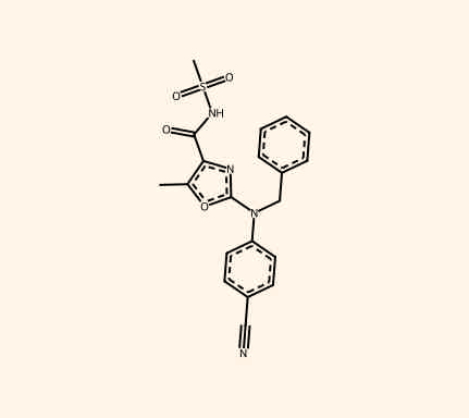 Cc1oc(N(Cc2ccccc2)c2ccc(C#N)cc2)nc1C(=O)NS(C)(=O)=O